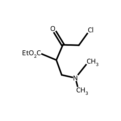 CCOC(=O)C(CN(C)C)C(=O)CCl